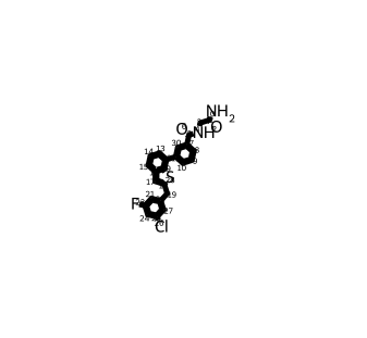 NC(=O)CNC(=O)c1cccc(-c2cccc3cc(Cc4cc(F)cc(Cl)c4)sc23)c1